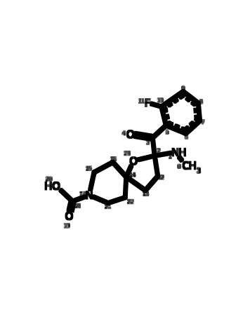 CNC1(C(=O)c2ccccc2F)CCC2(CCN(C(=O)O)CC2)O1